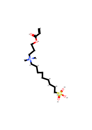 C=CC(=O)OCCC[N+](C)(C)CCCCCCCCCS(=O)(=O)[O-]